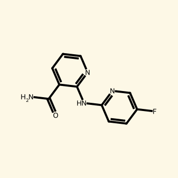 NC(=O)c1cccnc1Nc1ccc(F)cn1